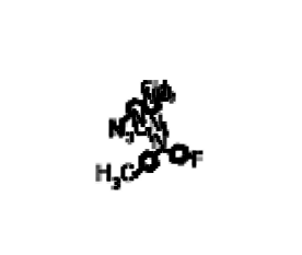 CCc1ccc(C(c2ccc(F)cc2)N2CCN(c3cc(=O)n(C)c4ccc(C#N)nc34)C(C)C2)cc1